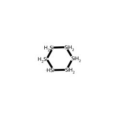 [SiH]1[SiH2][SiH2][SiH2][SiH2][SiH2]1